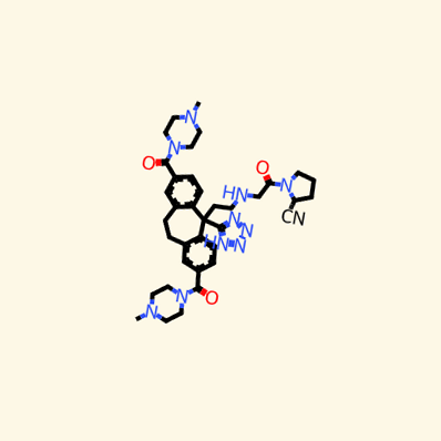 CN1CCN(C(=O)c2ccc3c(c2)CCc2cc(C(=O)N4CCN(C)CC4)ccc2C3(CCNCC(=O)N2CCCC2C#N)c2nnn[nH]2)CC1